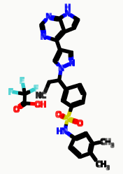 Cc1ccc(NS(=O)(=O)c2cccc(C(CC#N)n3cc(-c4ncnc5[nH]ccc45)cn3)c2)cc1C.O=C(O)C(F)(F)F